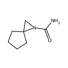 NC(=O)N1CC12CCCC2